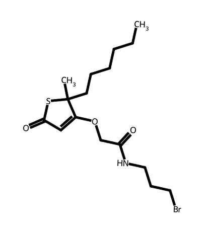 CCCCCCC1(C)SC(=O)C=C1OCC(=O)NCCCBr